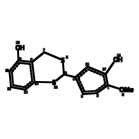 COc1ccc(C2SCc3c(O)cccc3S2)cc1O